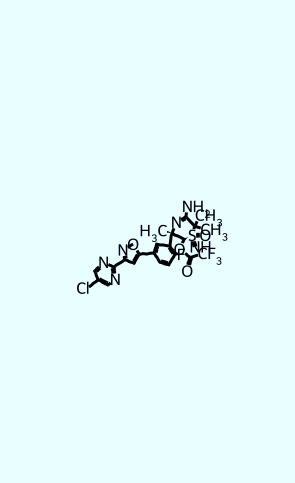 CC1(C)C(N)=N[C@](C)(c2cc(-c3cc(-c4ncc(Cl)cn4)no3)ccc2F)C(OC(=O)C(F)(F)F)[S@@]1(=N)=O